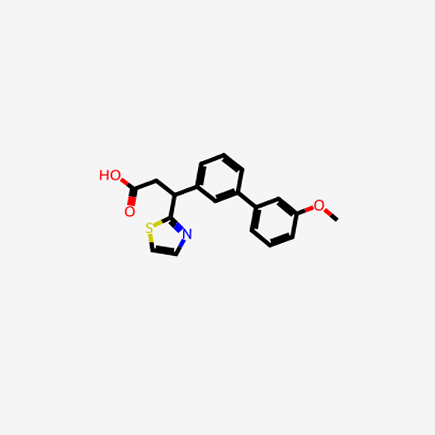 COc1cccc(-c2cccc(C(CC(=O)O)c3nccs3)c2)c1